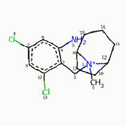 C[N+]1(Cc2c(N)cc(Cl)cc2Cl)C2C[CH]CC1CC2